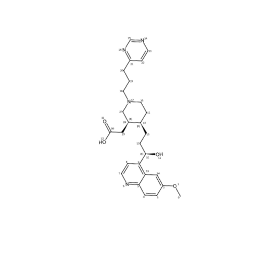 COc1ccc2nccc([C@H](O)CC[C@@H]3CCN(CCCc4ccncn4)C[C@@H]3CC(=O)O)c2c1